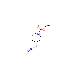 CCOC(=O)N1CCCC(CC#N)CC1